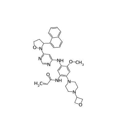 C=CC(=O)Nc1cc(Nc2cc(N3OCCC3c3cccc4ccccc34)ncn2)c(OC)cc1N1CCN(C2COC2)CC1